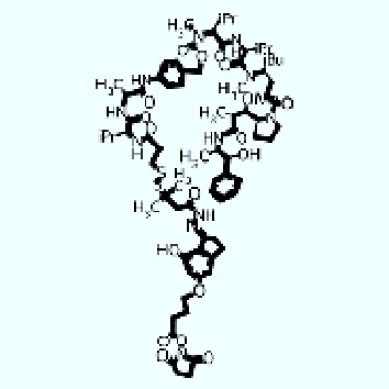 CC[C@H](C)[C@@H](CCC(=O)N1CCC[C@H]1[C@H](OC)[C@@H](C)C(=O)N[C@H](C)[C@@H](O)c1ccccc1)N(C)C(=O)[C@@H](NC(=O)[C@H](C(C)C)N(C)C(=O)OCc1ccc(NC(=O)[C@H](C)NC(=O)[C@@H](NC(=O)CCSSC(C)(C)CC(=O)N/N=C2\CCc3cc(OCCCC(=O)ON4C(=O)CCC4=O)cc(O)c32)C(C)C)cc1)C(C)C